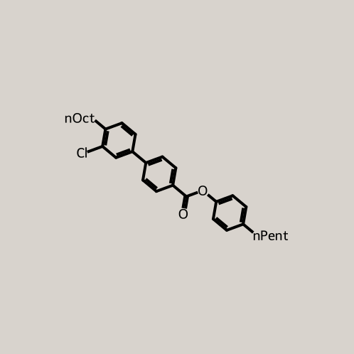 CCCCCCCCc1ccc(-c2ccc(C(=O)Oc3ccc(CCCCC)cc3)cc2)cc1Cl